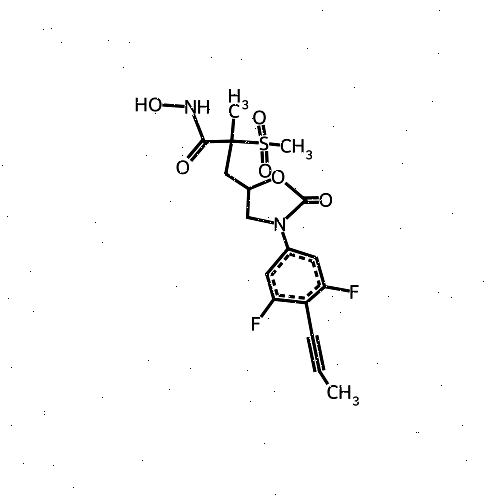 CC#Cc1c(F)cc(N2CC(CC(C)(C(=O)NO)S(C)(=O)=O)OC2=O)cc1F